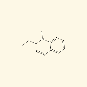 CCCN(C)c1ccccc1[C]=O